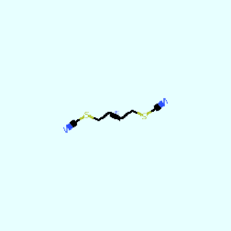 N#CSC/C=C/CSC#N